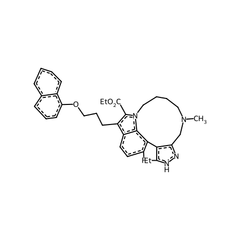 CCOC(=O)c1c(CCCOc2cccc3ccccc23)c2ccc(F)c3c2n1CCCCN(C)Cc1n[nH]c(CC)c1-3